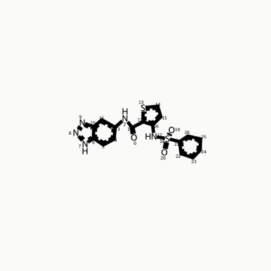 O=C(Nc1ccc2[nH]nnc2c1)c1sccc1NS(=O)(=O)c1ccccc1